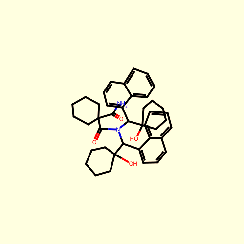 NC(=O)C1(C(=O)N(C(c2cccc3ccccc23)C2(O)CCCCC2)C(c2cccc3ccccc23)C2(O)CCCCC2)CCCCC1